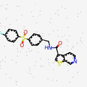 O=C(NCc1ccc(S(=O)(=O)c2ccc(F)cc2)cc1)c1csc2cnccc12